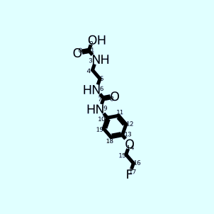 O=C(O)NCCNC(=O)Nc1ccc(OCCF)cc1